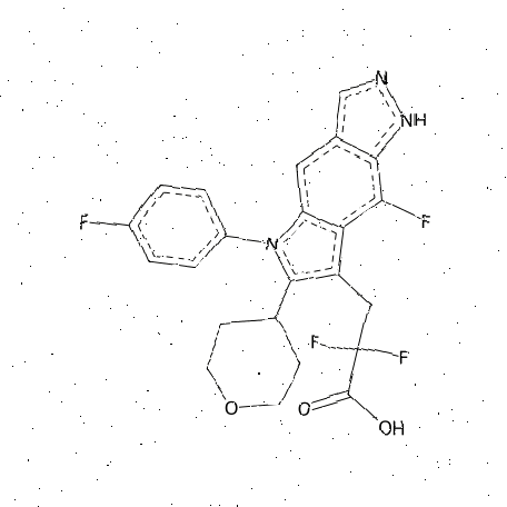 O=C(O)C(F)(F)Cc1c(C2CCOCC2)n(-c2ccc(F)cc2)c2cc3cn[nH]c3c(F)c12